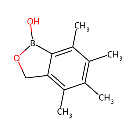 Cc1c(C)c(C)c2c(c1C)COB2O